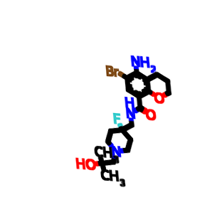 CC(C)(O)CN1CCC(F)(CNC(=O)c2cc(Br)c(N)c3c2OCCC3)CC1